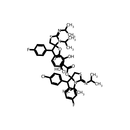 CC(C)N=C1SCC(OC(=O)C(O)C(O)C(=O)OC2(C(c3ccc(F)cc3)c3ccc(Cl)cc3)CSC(=NC(C)C)N2C(C)C)(C(c2ccc(F)cc2)c2ccc(Cl)cc2)N1C(C)C